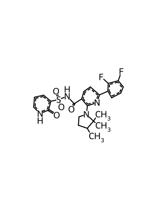 CC1CCN(c2nc(-c3cccc(F)c3F)ccc2C(=O)NS(=O)(=O)c2ccc[nH]c2=O)C1(C)C